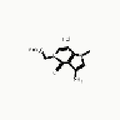 CCOC(=O)Cn1ccc2c(c(N)cn2C)c1=O.Cl